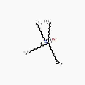 CCCCCCCCCCCCC(CCCCCCCCCCCC)(CCCCCCCCCCCC)[N+](C)(C)CCCCCCCCCCCC.[Br-]